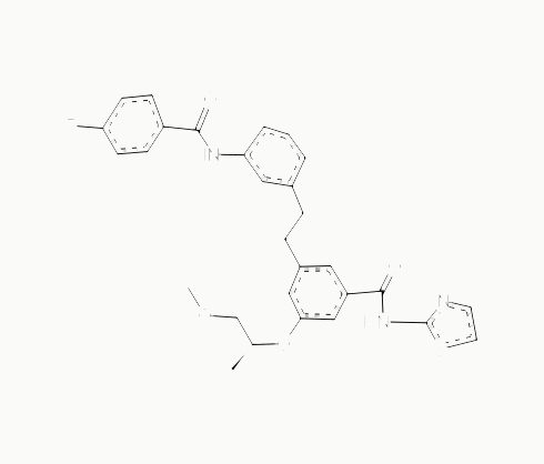 COC[C@H](C)Oc1cc(CCc2cccc(NC(=O)c3ccc(F)cc3)c2)cc(C(=O)Nc2nccs2)c1